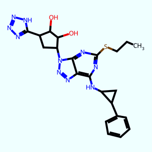 CCCSc1nc(NC2CC2c2ccccc2)c2nnn(C3CC(c4nnn[nH]4)C(O)C3O)c2n1